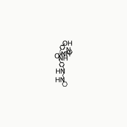 O=C(NCc1ccc(CNCCCNC2CCCCC2)cc1)[C@H](Cc1ccc(O)cc1)NCc1ccccn1